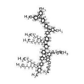 CCCCCCCCC1(CCCCCCCC)c2cc(C)ccc2-c2ccc(-c3ccc4c(c3)C(c3ccc(OCCOCC)cc3)(c3ccc(OCCOCC)cc3)c3cc(-c5ccc6c(c5)C(CCCCCCCC)(CCCCCCCC)c5cc(-c7ccc8c(c7)c7cc(C)ccc7n8-c7ccc(-c8ccc(-n9c%10ccc(C)cc%10c%10cc(C)ccc%109)cc8)cc7)ccc5-6)ccc3-4)cc21